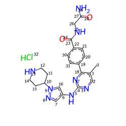 Cc1cnc(Nc2cnn(C3CCNCC3)c2)nc1-c1ccc(C(=O)NCC(N)=O)cc1.Cl